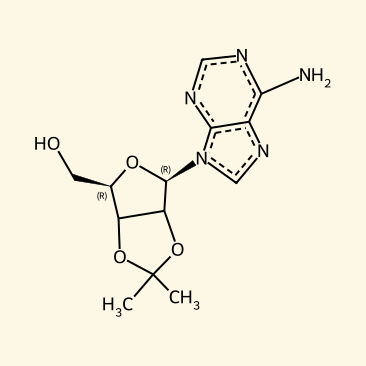 CC1(C)OC2C(O1)[C@@H](CO)O[C@H]2n1cnc2c(N)ncnc21